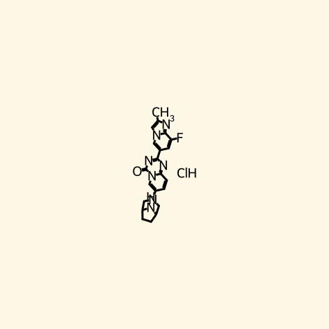 Cc1cn2cc(-c3nc(=O)n4cc(N5CC6CCC(C5)N6)ccc4n3)cc(F)c2n1.Cl